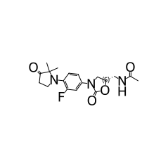 CC(=O)NC[C@H]1CN(c2ccc(N3CCC(=O)C3(C)C)c(F)c2)C(=O)O1